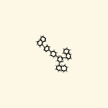 c1ccc2c(-c3ccc(-c4ccc(-c5cc(-c6cccc7ccccc67)nc(-c6cccc7ccccc67)n5)cc4)cc3)cncc2c1